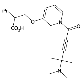 CC(C)C(COC1=CC=CN(C(=O)C#CC(C)(C)N(C)C)C1)C(=O)O